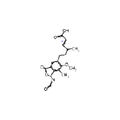 COc1c(CCC(C)/C=C/C(=O)O)cc2c(c1C)C(N=C=O)OC2=O